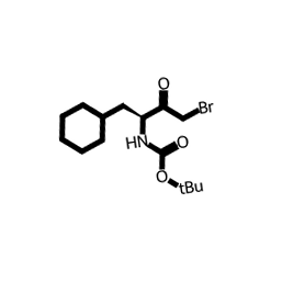 CC(C)(C)OC(=O)N[C@@H](CC1CCCCC1)C(=O)CBr